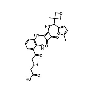 Cc1ccc(C(Nc2c(Nc3cccc(C(=O)CNCC(=O)O)c3O)c(=O)c2=O)C2(C)COC2)o1